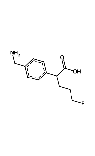 NCc1ccc(C(CCCF)C(=O)O)cc1